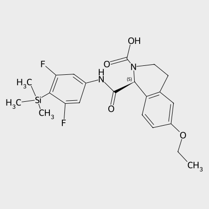 CCOc1ccc2c(c1)CCN(C(=O)O)[C@@H]2C(=O)Nc1cc(F)c([Si](C)(C)C)c(F)c1